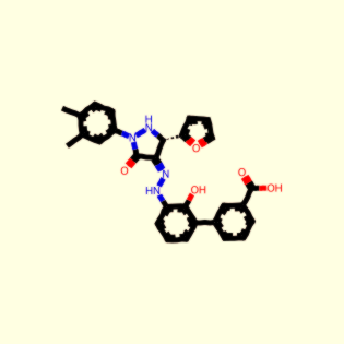 Cc1ccc(N2N[C@H](c3ccco3)C(=NNc3cccc(-c4cccc(C(=O)O)c4)c3O)C2=O)cc1C